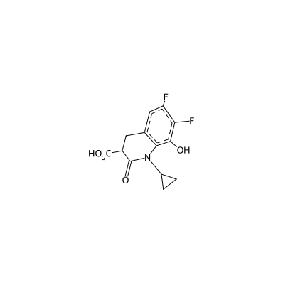 O=C(O)C1Cc2cc(F)c(F)c(O)c2N(C2CC2)C1=O